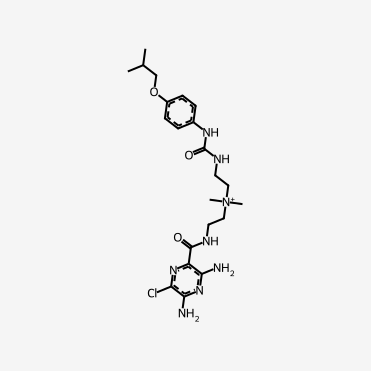 CC(C)COc1ccc(NC(=O)NCC[N+](C)(C)CCNC(=O)c2nc(Cl)c(N)nc2N)cc1